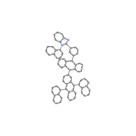 c1cc(-c2c3ccccc3c(-c3ccc4c(-c5cccc6ccccc56)c5ccccc5c(-c5cccc6ccccc56)c4c3)c3ccccc23)cc(-c2nc3ccccc3n2-c2cccc3ccccc23)c1